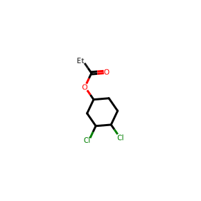 [CH2]CC(=O)OC1CCC(Cl)C(Cl)C1